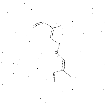 C=CC(C)=COOC=C(C)C=C